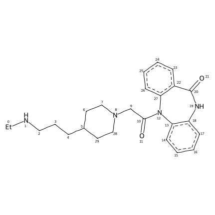 CCNCCCC1CCN(CC(=O)N2c3ccccc3NC(=O)c3ccccc32)CC1